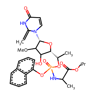 C=C1NC(=O)C=CN1[C@@H]1O[C@H](C(C)OP(=O)(NC(C)C(=O)OC(C)C)Oc2cccc3ccccc23)C(O)C1OC